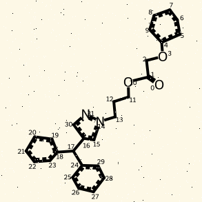 O=C(COc1ccccc1)OCCCn1cc(C(c2ccccc2)c2ccccc2)cn1